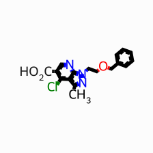 Cc1nn(CCOCc2ccccc2)c2ncc(C(=O)O)c(Cl)c12